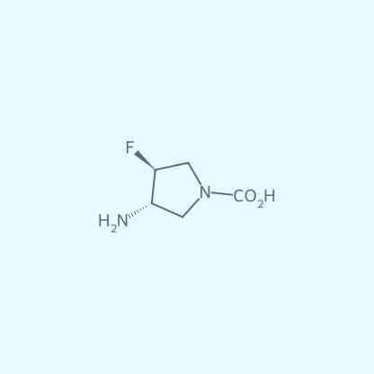 N[C@H]1CN(C(=O)O)C[C@@H]1F